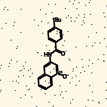 CC(C)(C)c1ccc(C(=O)Nc2cc3ccccc3[n+]([O-])c2)cc1